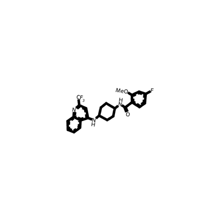 COc1cc(F)ccc1C(=O)NC1CCC(Nc2cc(C(F)(F)F)nc3ccccc23)CC1